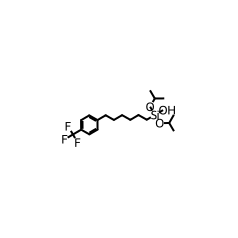 CC(C)O[Si](O)(CCCCCCc1ccc(C(F)(F)F)cc1)OC(C)C